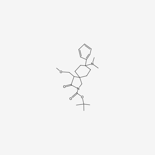 COCC1C(=O)N(C(=O)OC(C)(C)C)CC12CCC(c1ccccc1)(N(C)C)CC2